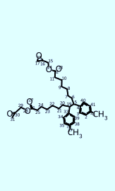 Cc1ccc(C(CCCCCCC(=O)OCC2CO2)C(CCCCCCC(=O)OCC2CO2)c2ccc(C)cc2)cc1